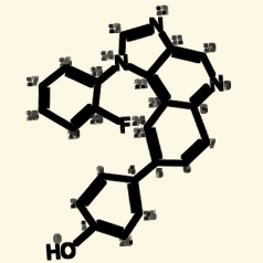 Oc1ccc(-c2ccc3ncc4ncn(-c5ccccc5F)c4c3c2)cc1